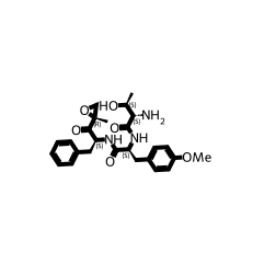 COc1ccc(C[C@H](NC(=O)[C@@H](N)[C@H](C)O)C(=O)N[C@@H](Cc2ccccc2)C(=O)[C@@]2(C)CO2)cc1